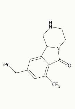 CC(C)Cc1cc2c(c(C(F)(F)F)c1)C(=O)N1CCNCC21